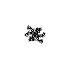 CC(C)(CN(CC1CO1)CC1CO1)c1ccc(Oc2cc3c4c(cc(Oc5ccc(C(C)(C)CN(CC6CO6)CC6CO6)cc5)c5c6c(Oc7ccc(C(C)(C)CN(CC8CO8)CC8CO8)cc7)cc7c8c(cc(Oc9ccc(C(C)(C)CN(CC%10CO%10)CC%10CO%10)cc9)c(c2c45)c86)C(=O)N(C(C(=O)N2CCCCC2)c2cccs2)C7=O)C(=O)N(C(C(=O)N2CCCCC2)c2cccs2)C3=O)cc1